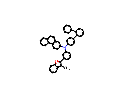 Cc1c(-c2cccc(N(c3ccc(-c4ccccc4-c4ccccc4)cc3)c3ccc4c(ccc5ccccc54)c3)c2)oc2ccccc12